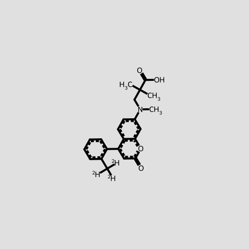 [2H]C([2H])([2H])c1ccccc1-c1cc(=O)oc2cc(N(C)CC(C)(C)C(=O)O)ccc12